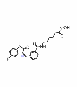 O=C(CCCCCNC(=O)c1cccc(/C=C2\C(=O)Nc3ccc(F)cc32)c1)NO